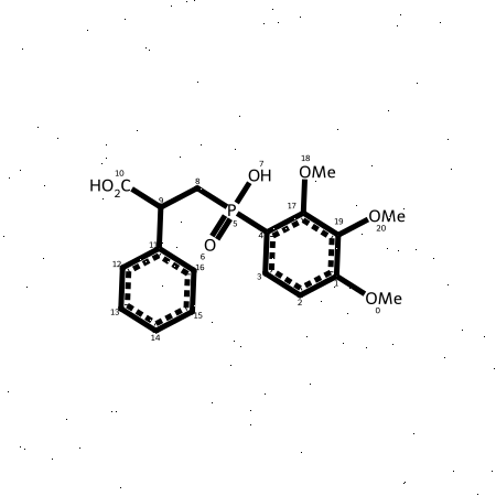 COc1ccc(P(=O)(O)CC(C(=O)O)c2ccccc2)c(OC)c1OC